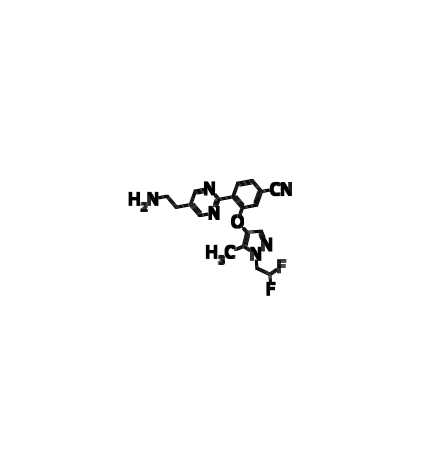 Cc1c(Oc2cc(C#N)ccc2-c2ncc(CCN)cn2)cnn1CC(F)F